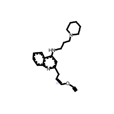 C#CO/C=C\Cc1cc(NCCCN2CCCCC2)c2ccccc2n1